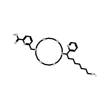 CCCCCCCCC(c1ccccn1)N1CCOCCOCCN(Cc2cccc(C(=O)O)n2)CCOCCOCC1